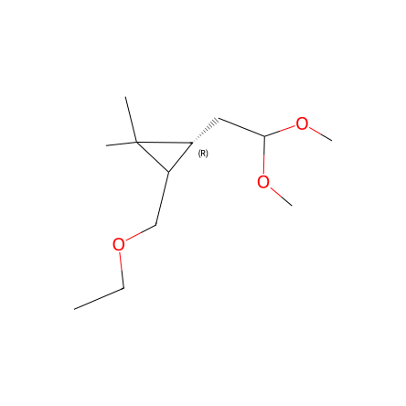 CCOCC1[C@@H](CC(OC)OC)C1(C)C